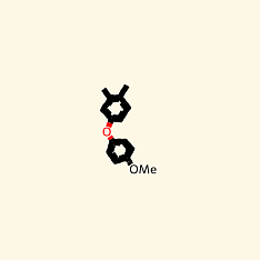 COc1ccc(Oc2ccc(C)c(C)c2)cc1